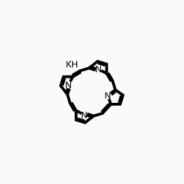 C1=CC2=NC1=CC1=NC(=CC3=NC(=CC4=NC(=C2)C=C4)C=C3)C=C1.[KH]